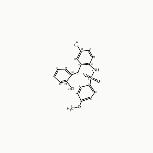 COc1ccc(S(=O)(=O)Nc2ccc(Cl)cc2Cc2ccccc2Cl)cc1